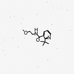 COCCNC(=O)c1cccnc1C(C)(C)C